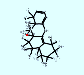 [2H]C1([2H])C=CC=C2NC3=C4C([2H])([2H])C([2H])([2H])C([2H])([2H])C([2H])([2H])C4([2H])C([2H])([2H])C([2H])([2H])C3([2H])S([2H])([2H])([2H])([2H])C21[2H]